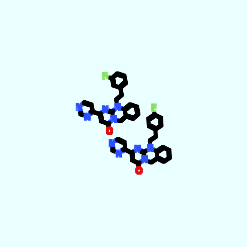 O=c1cc(-c2ccncn2)nc2n1Cc1ccccc1N2CCc1ccc(F)cc1.O=c1cc(-c2ccncn2)nc2n1Cc1ccccc1N2CCc1cccc(F)c1